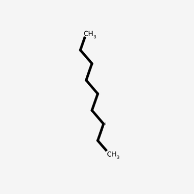 CC[C]CCCCCC